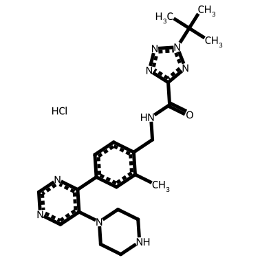 Cc1cc(-c2ncncc2N2CCNCC2)ccc1CNC(=O)c1nnn(C(C)(C)C)n1.Cl